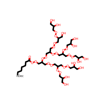 CCCCCCCCCCCCCCCC(=O)OOCC(COOCC(COOCC(O)CO)OOCC(O)CO)OOCC(COOCC(CO)OOCC(O)CO)OOCC(COOCC(O)CO)OOCC(O)CO